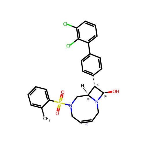 O=S(=O)(c1ccccc1C(F)(F)F)N1C/C=C\CN2[C@H](O)[C@@H](c3ccc(-c4cccc(Cl)c4Cl)cc3)[C@@H]2C1